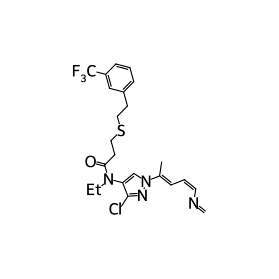 C=N/C=C\C=C(/C)n1cc(N(CC)C(=O)CCSCCc2cccc(C(F)(F)F)c2)c(Cl)n1